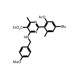 CCOC(=O)c1c(C)nc(-c2c(C)cc(C(C)(C)C)cc2OC(C)=O)nc1NCc1ccc(OC)cc1